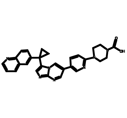 O=C(O)N1CCN(c2ccc(-c3cnc4ncc(C5(c6ccc7ncccc7c6)CC5)n4c3)cn2)CC1